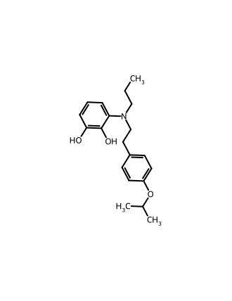 CCCN(CCc1ccc(OC(C)C)cc1)c1cccc(O)c1O